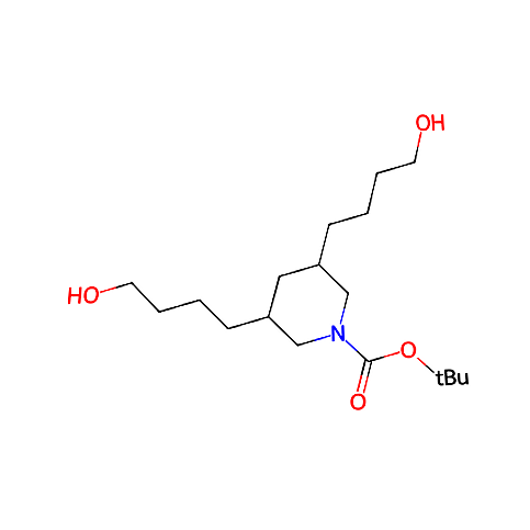 CC(C)(C)OC(=O)N1CC(CCCCO)CC(CCCCO)C1